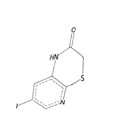 O=C1CSc2ncc(I)cc2N1